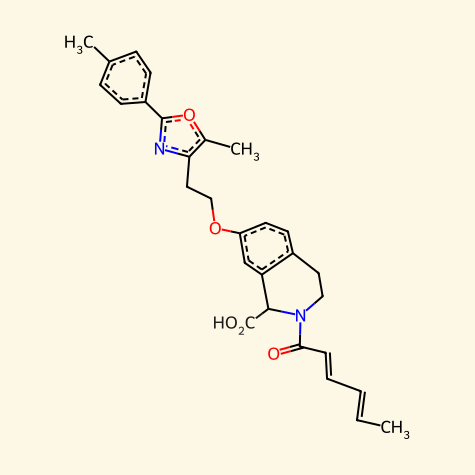 CC=CC=CC(=O)N1CCc2ccc(OCCc3nc(-c4ccc(C)cc4)oc3C)cc2C1C(=O)O